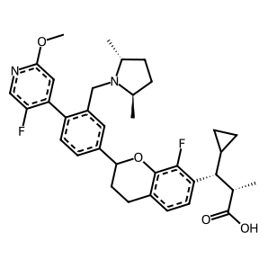 COc1cc(-c2ccc(C3CCc4ccc([C@H](C5CC5)[C@H](C)C(=O)O)c(F)c4O3)cc2CN2[C@H](C)CC[C@H]2C)c(F)cn1